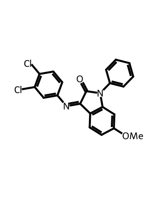 COc1ccc2c(c1)N(c1ccccc1)C(=O)C2=Nc1ccc(Cl)c(Cl)c1